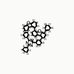 c1ccc(-c2nc(-c3ccccc3)nc(-c3cccc(-c4ccc(-c5ccccc5)c5oc6c(-c7cccc8oc9ccccc9c78)cccc6c45)c3)n2)cc1